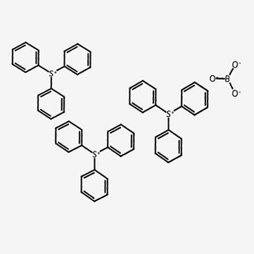 [O-]B([O-])[O-].c1ccc([S+](c2ccccc2)c2ccccc2)cc1.c1ccc([S+](c2ccccc2)c2ccccc2)cc1.c1ccc([S+](c2ccccc2)c2ccccc2)cc1